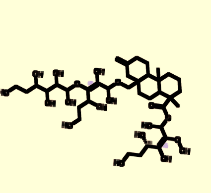 C=C1CCC2C(COC(O)/C(O)=C(/OC(O)C(O)C(O)C(O)CCO)C(O)CCO)(CCC3C(C)(C(=O)OC(O)/C(OO)=C(/O)[C@@H](O)CCO)CCCC23C)C1